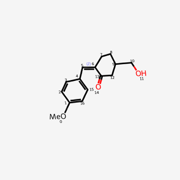 COc1ccc(/C=C2/CCC(CO)CC2=O)cc1